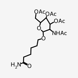 CC(=O)NC1C(OCCCCCC(N)=O)OC(COC(C)=O)C(OC(C)=O)C1OC(C)=O